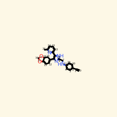 C#Cc1ccc(NCc2nc(C3=CC=C4OCOC4C3)c(-c3cccc(C)n3)[nH]2)cc1